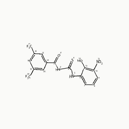 O=C(NC(=S)Nc1cccc([N+](=O)[O-])c1O)c1cc(C(F)(F)F)cc(C(F)(F)F)c1